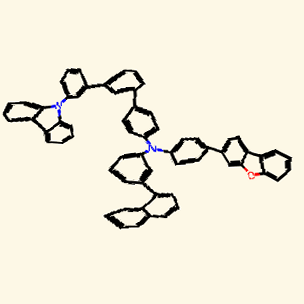 c1cc(-c2ccc(N(c3ccc(-c4ccc5c(c4)oc4ccccc45)cc3)c3cccc(-c4cccc5ccccc45)c3)cc2)cc(-c2cccc(-n3c4ccccc4c4ccccc43)c2)c1